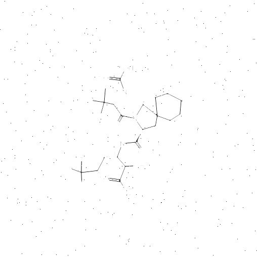 CC(F)(F)CC[C@H](NC(=O)[C@@H]1CC2(CCCCC2)CN1C(=O)[C@@H](NC(=O)O)C(C)(C)C)C(O)C(N)=O